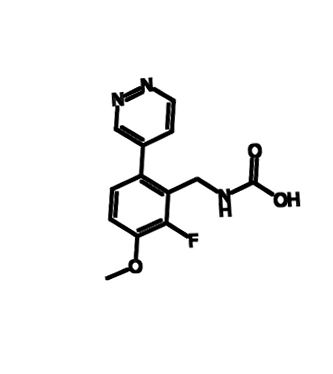 COc1ccc(-c2ccnnc2)c(CNC(=O)O)c1F